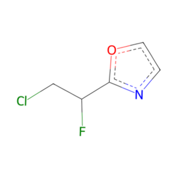 FC(CCl)c1ncco1